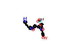 O=C(/C=C/c1ccco1)N(CCc1ccc(O)cc1)Cc1cccc(-c2cccc(C(=O)N3CCC(CCCC4CCNCC4)CC3)c2)c1.O=C(O)C(F)(F)F